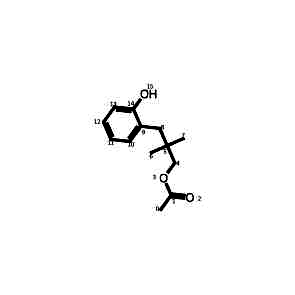 CC(=O)OCC(C)(C)Cc1ccccc1O